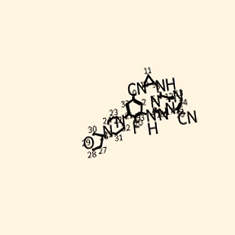 N#Cc1cc(Nc2nc(NC3CC3)c3ncc(C#N)n3n2)c(F)c(N2CCN(C3CCOC3)CC2)c1